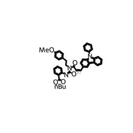 CCCCOC(=O)c1ccccc1N=C1O/C(=C/c2ccc3c(c2)c2ccccc2n3-c2ccccc2)C(=O)N1CCc1ccc(OC)cc1